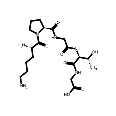 C[C@@H](O)[C@H](NC(=O)CNC(=O)[C@@H]1CCCN1C(=O)[C@@H](N)CCCCN)C(=O)NCC(=O)O